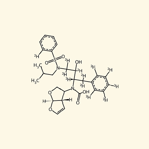 [2H]c1ccccc1S(=O)(=O)N(CC(C)C)C([2H])([2H])[C@@]([2H])(O)[C@@]([2H])(N(C(=O)O)C1CO[C@@H]2OC=C[C@@H]12)C([2H])([2H])c1c([2H])c([2H])c([2H])c([2H])c1[2H]